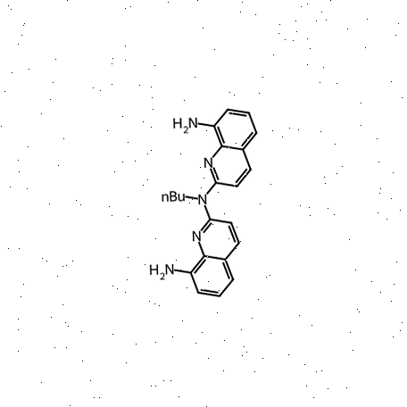 CCCCN(c1ccc2cccc(N)c2n1)c1ccc2cccc(N)c2n1